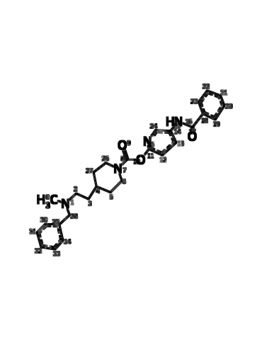 CN(CCC1CCN(C(=O)Oc2ccc(NC(=O)c3ccccc3)cn2)CC1)Cc1ccccc1